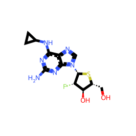 Nc1nc(NC2CC2)c2ncn([C@@H]3S[C@H](CO)[C@@H](O)[C@@H]3F)c2n1